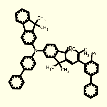 C=C1/C(=C\C(=C(C)C)c2cc(-c3ccccc3)ccc2C(C)C)C(C)(C)c2cc(N(c3ccc(-c4ccccc4)cc3)c3ccc4c(c3)C(C)(C)c3ccccc3-4)ccc21